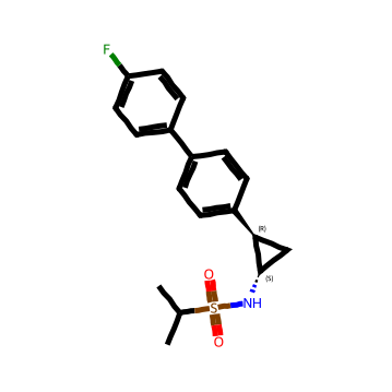 CC(C)S(=O)(=O)N[C@H]1C[C@@H]1c1ccc(-c2ccc(F)cc2)cc1